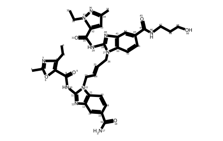 CCc1nc(C)oc1C(=O)Nc1nc2cc(C(N)=O)ccc2n1C/C=C/Cn1c(NC(=O)c2cc(C)nn2CC)nc2cc(C(=O)NCCCO)ccc21